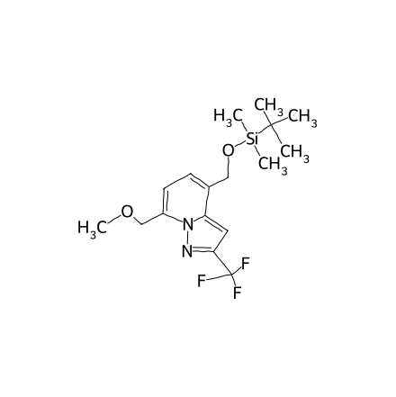 COCc1ccc(CO[Si](C)(C)C(C)(C)C)c2cc(C(F)(F)F)nn12